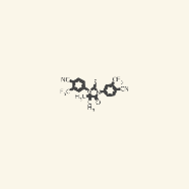 CC1(C)C(=O)N(c2ccc(C#N)c(C(F)(F)F)c2)C(=S)N1c1ccc(C#N)c(C(F)(F)F)c1